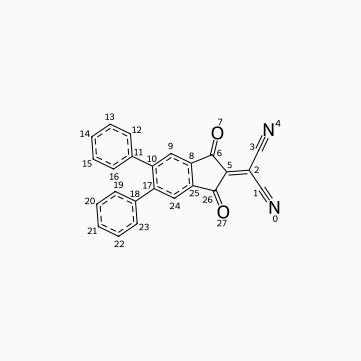 N#CC(C#N)=C1C(=O)c2cc(-c3ccccc3)c(-c3ccccc3)cc2C1=O